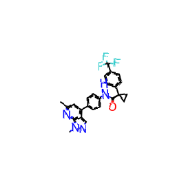 Cc1cc(-c2ccc(NC(=O)C3(c4ccc(C(F)(F)F)cc4)CC3)cc2)c2cnn(C)c2n1